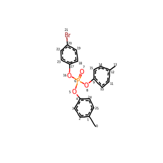 Cc1ccc(OP(=O)(Oc2ccc(C)cc2)Oc2ccc(Br)cc2)cc1